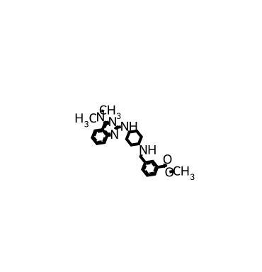 COC(=O)c1cccc(CN[C@H]2CC[C@@H](Nc3nc(N(C)C)c4ccccc4n3)CC2)c1